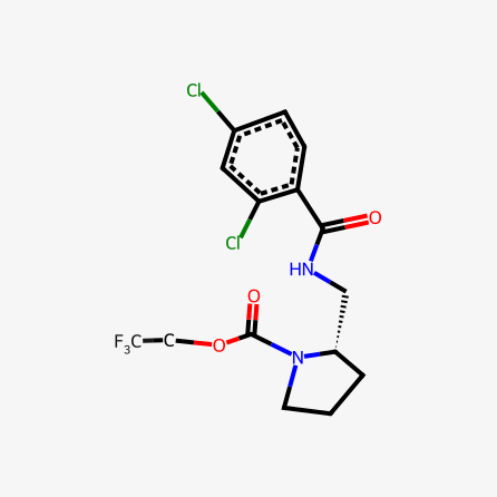 O=C(NC[C@@H]1CCCN1C(=O)OCC(F)(F)F)c1ccc(Cl)cc1Cl